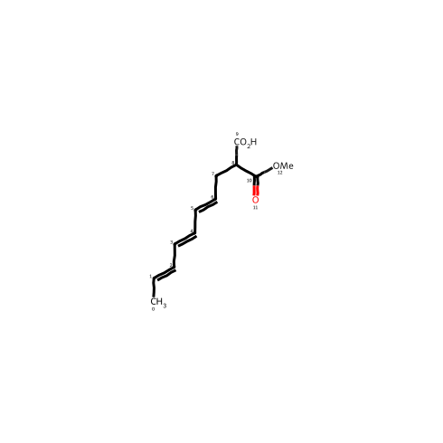 C/C=C/C=C/C=C/CC(C(=O)O)C(=O)OC